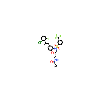 C/C(=C\c1ccc2c(c1)N(S(=O)(=O)c1cccc(C(F)(F)F)c1)C[C@H](CCNC(=O)C1CC1)O2)c1c(F)cccc1Cl